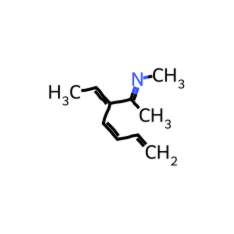 C=C\C=C/C(=C\C)C(/C)=N/C